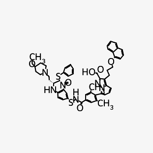 COC1CCN(CC[C@H](CSc2ccccc2)Nc2ccc(SNC(=O)c3cc(C)c(-c4cccc5c(CCCOc6cccc7ccccc67)c(C(=O)O)nn45)c(C)c3)cc2N=O)CC1